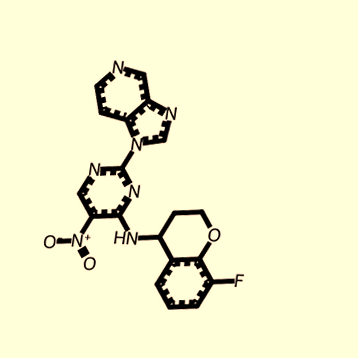 O=[N+]([O-])c1cnc(-n2cnc3cnccc32)nc1NC1CCOc2c(F)cccc21